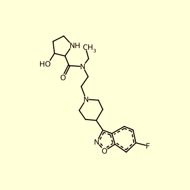 CCN(CCN1CCC(c2noc3cc(F)ccc23)CC1)C(=O)C1NCCC1O